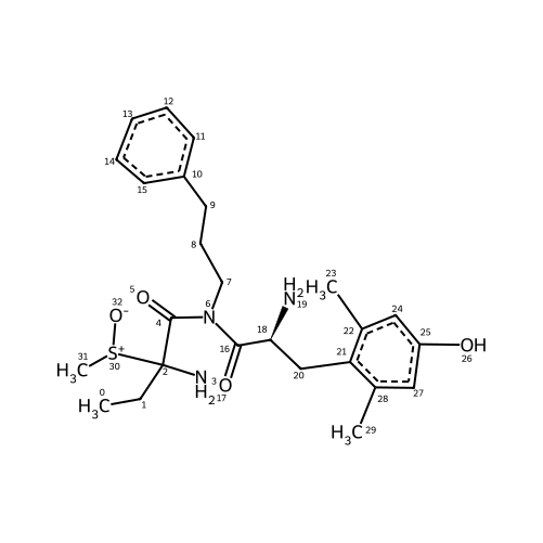 CCC(N)(C(=O)N(CCCc1ccccc1)C(=O)[C@@H](N)Cc1c(C)cc(O)cc1C)[S+](C)[O-]